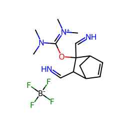 CN(C)C(OC1(C=N)C2C=CC(C2)C1C=N)=[N+](C)C.F[B-](F)(F)F